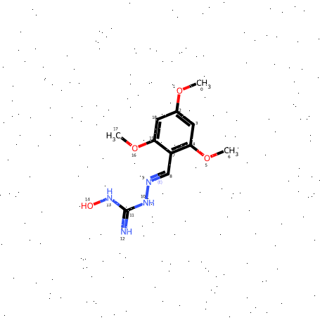 COc1cc(OC)c(/C=N/NC(=N)NO)c(OC)c1